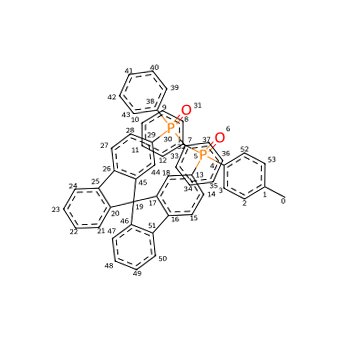 Cc1ccc(P(=O)(c2ccccc2)c2ccc3c(c2)C2(c4ccccc4-c4ccc(P(=O)(c5ccccc5)c5ccccc5)cc42)c2ccccc2-3)cc1